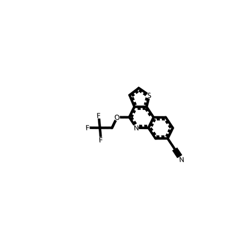 N#Cc1ccc2c(c1)nc(OCC(F)(F)F)c1ccsc12